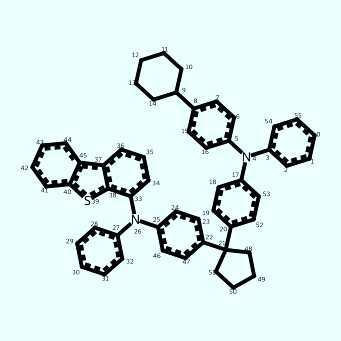 c1ccc(N(c2ccc(C3CCCCC3)cc2)c2ccc(C3(c4ccc(N(c5ccccc5)c5cccc6c5sc5ccccc56)cc4)CCCC3)cc2)cc1